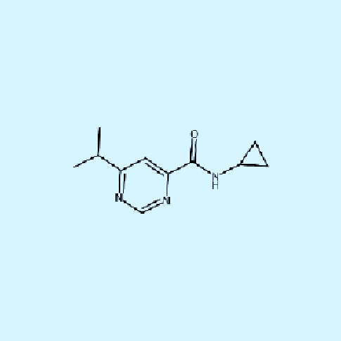 CC(C)c1cc(C(=O)NC2CC2)ncn1